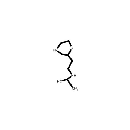 CC(O)NCCC1CNCCO1